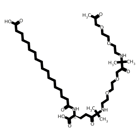 CC(=O)COCCOCCNC(C)(C)C(=O)COCCOCCNC(C)(C)C(=O)CC[C@H](NC(=O)CCCCCCCCCCCCCCCCC(=O)O)C(=O)O